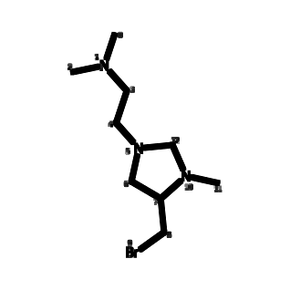 CN(C)CCN1CC(CBr)N(C)C1